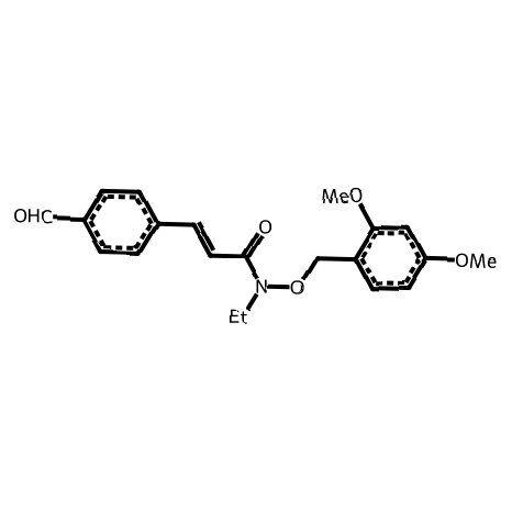 CCN(OCc1ccc(OC)cc1OC)C(=O)/C=C/c1ccc(C=O)cc1